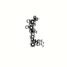 CN(C)c1nc(N2CCC(CNS(=O)(=O)c3cc(Cl)c(Oc4ccc([N+](=O)[O-])cc4Cl)c(Cl)c3)CC2)nc2ccccc12